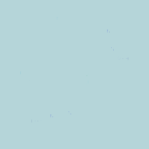 Cc1nc(-c2ccc(F)cc2)c(CCCl)n1S(=O)(=O)O.Cc1nc(CCCl)c(-c2ccc(F)cc2)n1S(=O)(=O)O